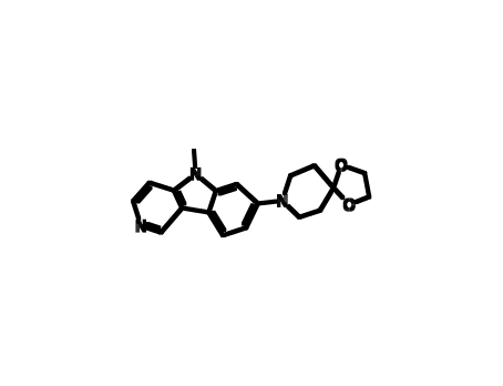 Cn1c2ccncc2c2ccc(N3CCC4(CC3)OCCO4)cc21